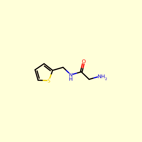 NCC(=O)NCc1cccs1